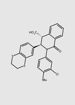 CC(C)(C)c1ccc(N2C(=O)c3ccccc3[C@@H](C(=O)O)[C@@H]2c2ccc3c(c2)SCCS3)cc1Cl